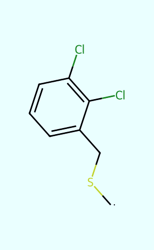 [CH2]SCc1cccc(Cl)c1Cl